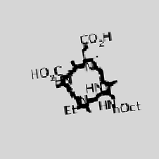 CCCCCCCCNCc1c(C)c2cc3nc(c(C)c4[nH]c(cc5nc(cc1[nH]2)C(C)=C5CC)c(C)c4C(=O)O)[C@@H](CCC(=O)O)[C@@H]3C